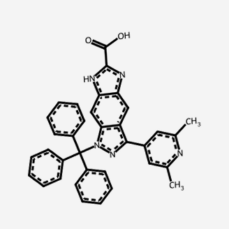 Cc1cc(-c2nn(C(c3ccccc3)(c3ccccc3)c3ccccc3)c3cc4[nH]c(C(=O)O)nc4cc23)cc(C)n1